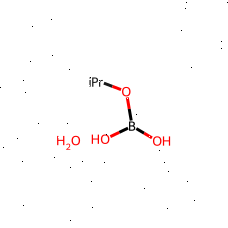 CC(C)OB(O)O.O